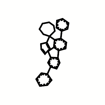 C1=CCC(C2(c3c(-c4ccccc4)ccc4c3Cc3cc(-c5ccccc5)ccc3-4)CCCCCC2)=C1